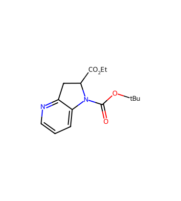 CCOC(=O)C1Cc2ncccc2N1C(=O)OC(C)(C)C